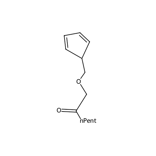 CCCCCC(=O)COCC1C=CC=C1